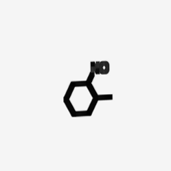 CC1CCCCC1N=O